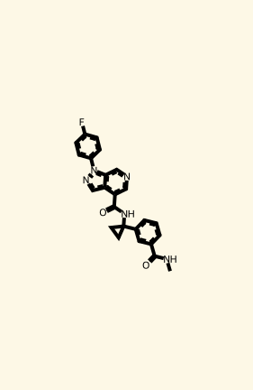 CNC(=O)c1cccc(C2(NC(=O)c3cncc4c3cnn4-c3ccc(F)cc3)CC2)c1